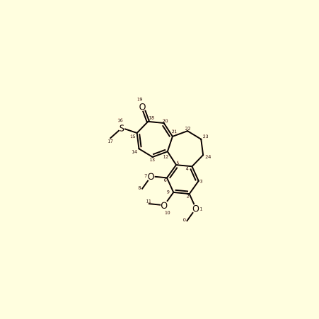 COc1cc2c(c(OC)c1OC)-c1ccc(SC)c(=O)cc1CCC2